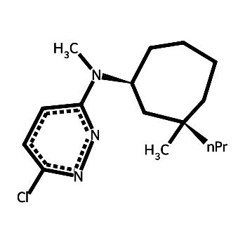 CCC[C@]1(C)CCCC[C@H](N(C)c2ccc(Cl)nn2)C1